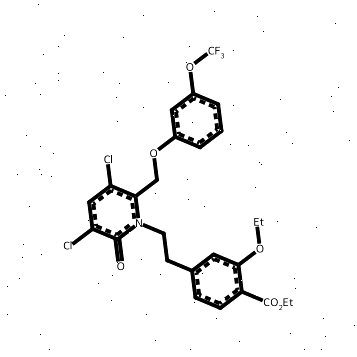 CCOC(=O)c1ccc(CCn2c(COc3cccc(OC(F)(F)F)c3)c(Cl)cc(Cl)c2=O)cc1OCC